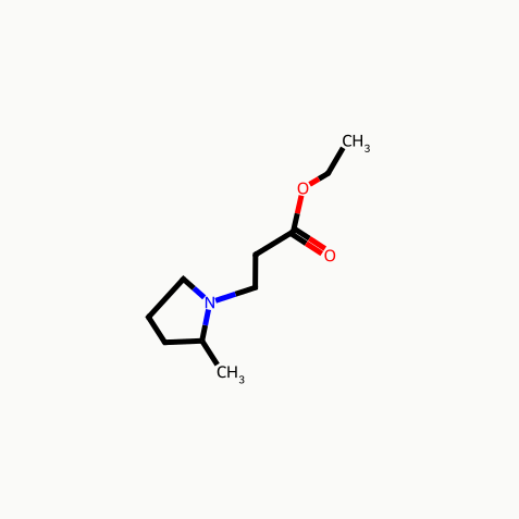 CCOC(=O)CCN1CCCC1C